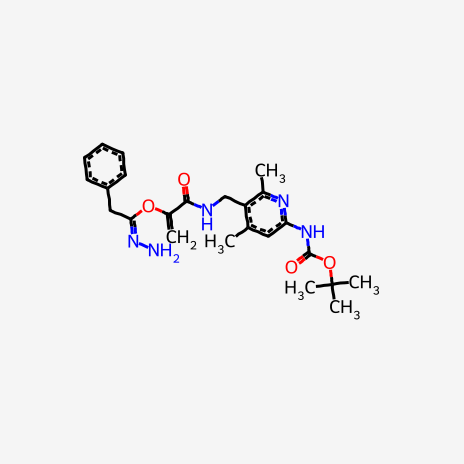 C=C(O/C(Cc1ccccc1)=N\N)C(=O)NCc1c(C)cc(NC(=O)OC(C)(C)C)nc1C